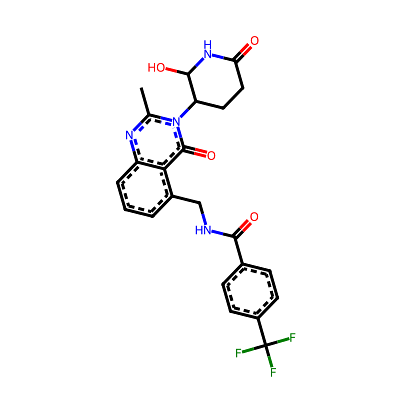 Cc1nc2cccc(CNC(=O)c3ccc(C(F)(F)F)cc3)c2c(=O)n1C1CCC(=O)NC1O